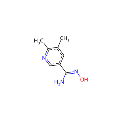 Cc1cc(C(N)=NO)cnc1C